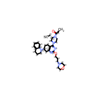 C=CC(=O)N1CCN(c2nc(OCCCN3CCOCC3)nc3c2CC[C@H](N2CCCc4ccccc42)C3)C[C@@H]1CC#N